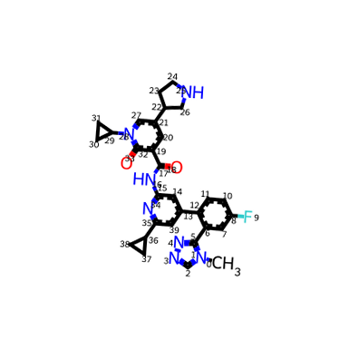 Cn1cnnc1-c1cc(F)ccc1-c1cc(NC(=O)c2cc(C3CCNC3)cn(C3CC3)c2=O)nc(C2CC2)c1